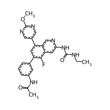 CCNC(=O)Nc1cc2c(F)c(-c3cccc(NC(C)=O)c3)cc(-c3cnc(OC)nc3)c2cn1